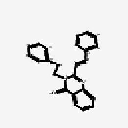 O=c1c2ccccc2nc(C=Cc2ccccc2)n1CCc1ccccc1